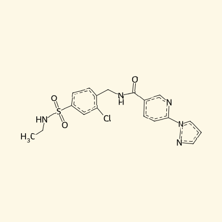 CCNS(=O)(=O)c1ccc(CNC(=O)c2ccc(-n3cccn3)nc2)c(Cl)c1